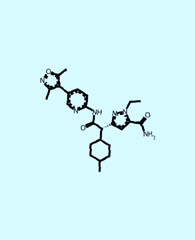 CCn1nc([C@@H](C(=O)Nc2ccc(-c3c(C)noc3C)cn2)C2CCC(C)CC2)cc1C(N)=O